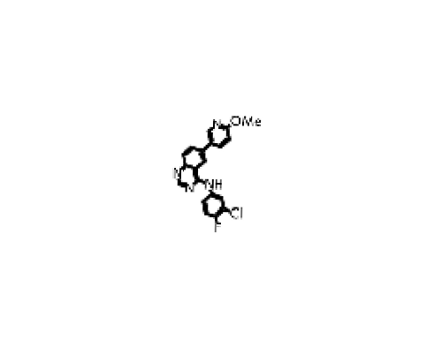 COc1ccc(-c2ccc3ncnc(Nc4ccc(F)c(Cl)c4)c3c2)cn1